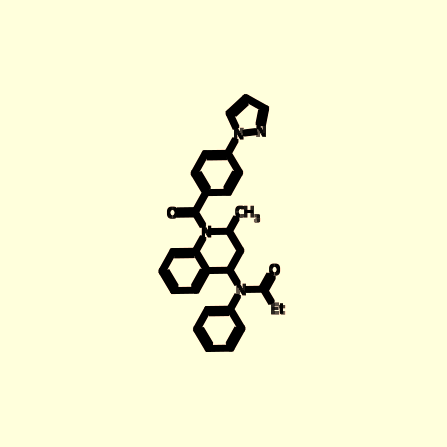 CCC(=O)N(c1ccccc1)C1CC(C)N(C(=O)c2ccc(-n3cccn3)cc2)c2ccccc21